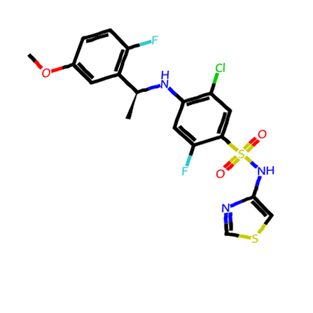 COc1ccc(F)c([C@H](C)Nc2cc(F)c(S(=O)(=O)Nc3cscn3)cc2Cl)c1